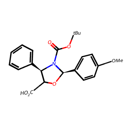 COc1ccc([C@H]2OC(C(=O)O)[C@@H](c3ccccc3)N2C(=O)OC(C)(C)C)cc1